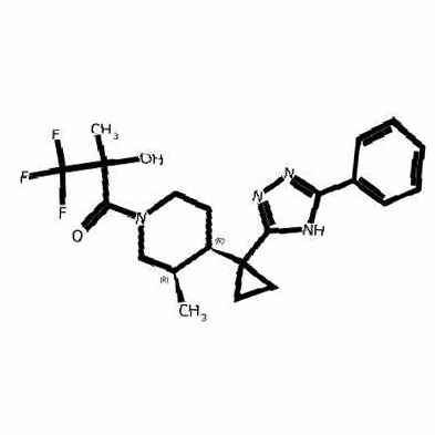 C[C@H]1CN(C(=O)C(C)(O)C(F)(F)F)CC[C@H]1C1(c2nnc(-c3ccccc3)[nH]2)CC1